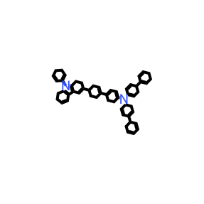 C1=CCC(C2=CCC(N(C3=CCC(C4=CCCC=C4)C=C3)C3=CC=C(C4=CCC(C5=Cc6c7c(n(C8=CCCC=C8)c6CC5)CCC=C7)CC4)CC3)C=C2)C=C1